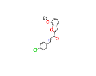 CCOc1cccc2cc(C(=O)/C=C/c3ccc(Cl)cc3)oc12